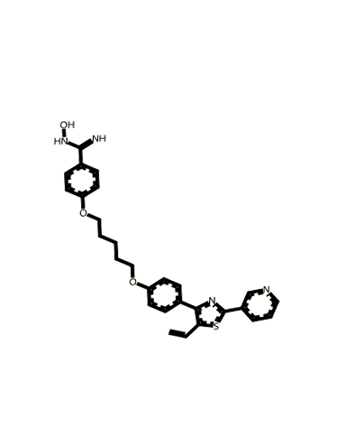 C=Cc1sc(-c2cccnc2)nc1-c1ccc(OCCCCCOc2ccc(C(=N)NO)cc2)cc1